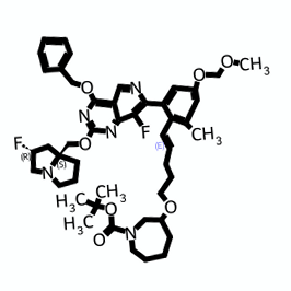 COCOc1cc(C)c(/C=C/CCCOC2CCCCN(C(=O)OC(C)(C)C)C2)c(-c2ncc3c(OCc4ccccc4)nc(OC[C@@]45CCCN4C[C@H](F)C5)nc3c2F)c1